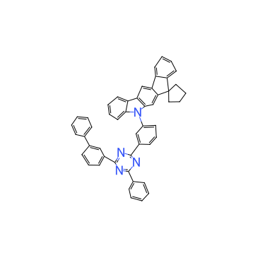 c1ccc(-c2cccc(-c3nc(-c4ccccc4)nc(-c4cccc(-n5c6ccccc6c6cc7c(cc65)C5(CCCC5)c5ccccc5-7)c4)n3)c2)cc1